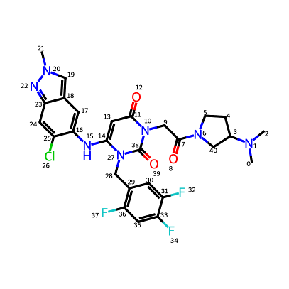 CN(C)C1CCN(C(=O)Cn2c(=O)cc(Nc3cc4cn(C)nc4cc3Cl)n(Cc3cc(F)c(F)cc3F)c2=O)C1